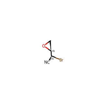 N#C[C@H](Br)[C@@H]1CO1